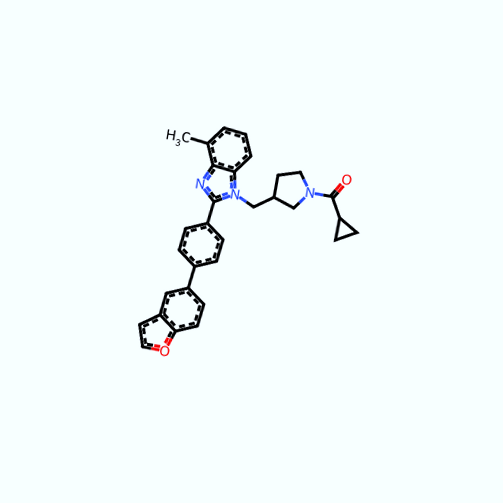 Cc1cccc2c1nc(-c1ccc(-c3ccc4occc4c3)cc1)n2CC1CCN(C(=O)C2CC2)C1